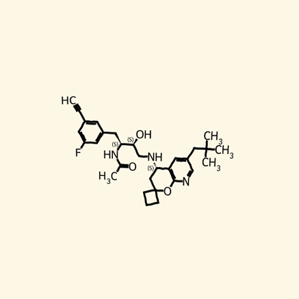 C#Cc1cc(F)cc(C[C@H](NC(C)=O)[C@@H](O)CN[C@H]2CC3(CCC3)Oc3ncc(CC(C)(C)C)cc32)c1